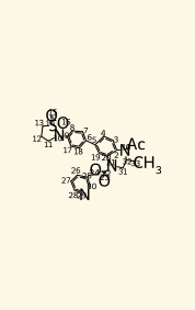 CC(=O)N1c2ccc(-c3ccc(N4CCCS4(=O)=O)cc3)cc2N(C(=O)Oc2cccnc2)CC1C